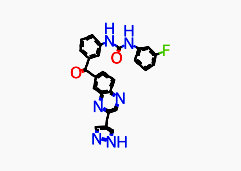 O=C(Nc1cccc(F)c1)Nc1cccc(C(=O)c2ccc3ncc(-c4cn[nH]c4)nc3c2)c1